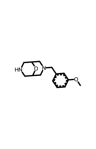 COc1cccc(CN2CC3CNCC(C2)O3)c1